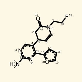 Nc1ncc(C2C=CN(CCF)C(=O)C2)c(-c2ccco2)n1